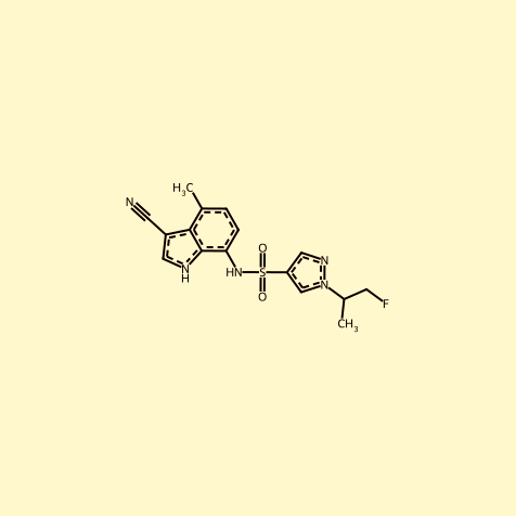 Cc1ccc(NS(=O)(=O)c2cnn(C(C)CF)c2)c2[nH]cc(C#N)c12